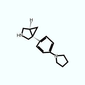 c1cc([C@]23CNC[C@H]2C3)ccc1N1CCCC1